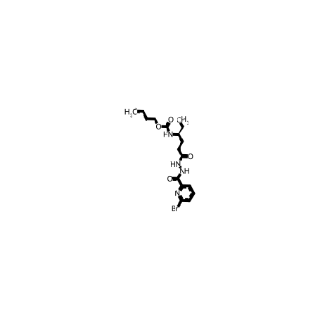 CCCCOC(=O)N[C@@H](CC)CCC(=O)NNC(=O)c1cccc(Br)n1